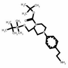 CC(C)(C)OC(=O)N1CCN(c2ccc(CCN)cc2)CC1CO[Si](C)(C)C(C)(C)C